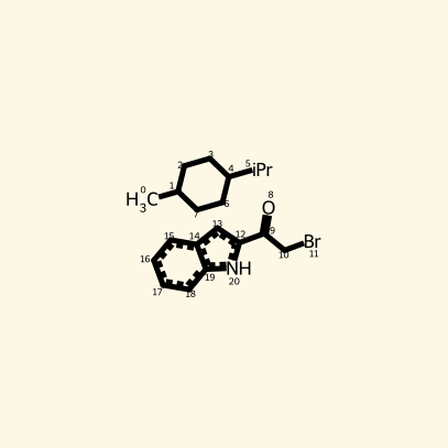 CC1CCC(C(C)C)CC1.O=C(CBr)c1cc2ccccc2[nH]1